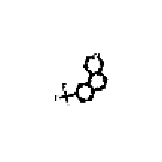 FC(F)(F)c1ccc2ccc3cnccc3c2c1